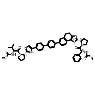 COC(=O)N[C@H](C(=O)N1CCC[C@H]1c1ncc(-c2ccc(-c3ccc(-c4ccc5c(c4)CCc4nc([C@@H]6CCCN6C(=O)[C@H](NC(=O)OC)c6ccccc6)[nH]c4-5)cc3)cc2)[nH]1)C(C)C